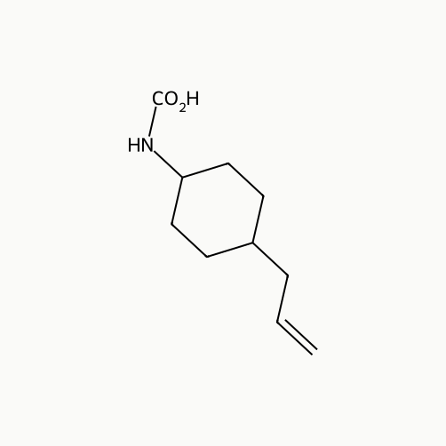 C=CCC1CCC(NC(=O)O)CC1